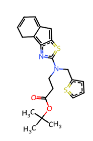 CC(C)(C)OC(=O)CCN(Cc1cccs1)c1nc2c(s1)=CC1=CC=CCC=21